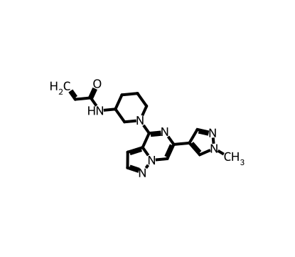 C=CC(=O)NC1CCCN(c2nc(-c3cnn(C)c3)cn3nccc23)C1